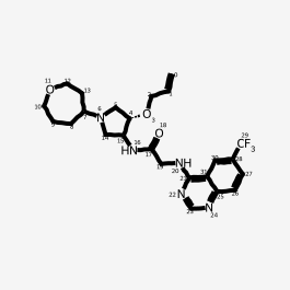 C=CCO[C@H]1CN(C2CCCOCC2)CC1NC(=O)CNc1ncnc2ccc(C(F)(F)F)cc12